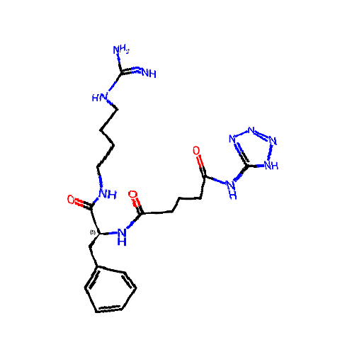 N=C(N)NCCCCNC(=O)[C@H](Cc1ccccc1)NC(=O)CCCC(=O)Nc1nnn[nH]1